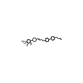 C=CCCc1ccc(-c2ccc(CC/C=C/C3CCC(c4ccc(OCC)c(F)c4F)CC3)cc2)cc1